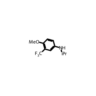 COc1ccc(NC(C)C)cc1C(F)(F)F